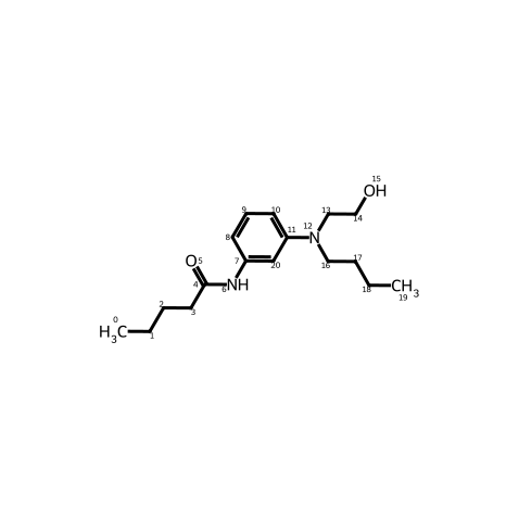 CCCCC(=O)Nc1cccc(N(CCO)CCCC)c1